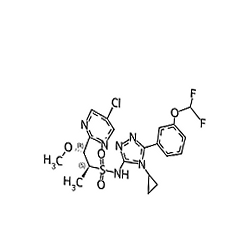 CO[C@H](c1ncc(Cl)cn1)[C@H](C)S(=O)(=O)Nc1nnc(-c2cccc(OC(F)F)c2)n1C1CC1